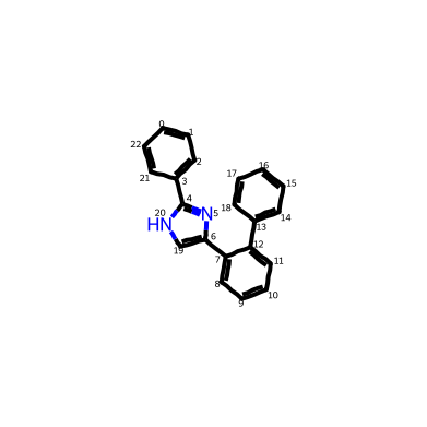 c1ccc(-c2nc(-c3ccccc3-c3ccccc3)c[nH]2)cc1